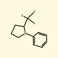 FC(F)(F)C1CCCN1c1c[c]ccc1